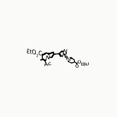 CCOC(=O)c1cc2cc(-c3cnn(N4CCC(C(=O)OC(C)(C)C)CC4)c3)cn2c(C(C)=O)c1C